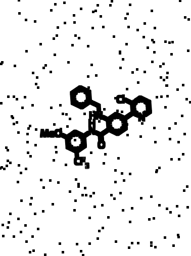 COc1cc(NC(=O)c2ccc(-c3ncccc3Cl)cc2NCc2ccccc2)cc(C(F)(F)F)c1